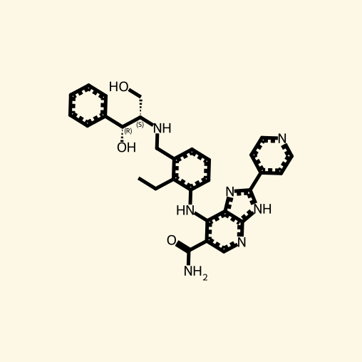 CCc1c(CN[C@@H](CO)[C@H](O)c2ccccc2)cccc1Nc1c(C(N)=O)cnc2[nH]c(-c3ccncc3)nc12